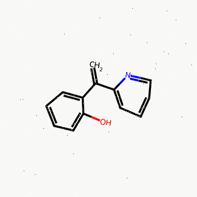 C=C(c1ccccn1)c1ccccc1O